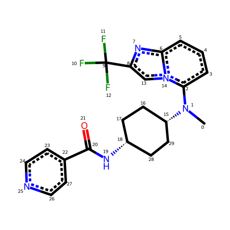 CN(c1cccc2nc(C(F)(F)F)cn12)[C@H]1CC[C@@H](NC(=O)c2ccncc2)CC1